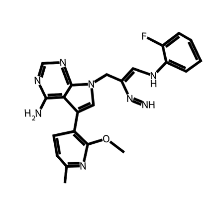 COc1nc(C)ccc1-c1cn(C/C(=C/Nc2ccccc2F)N=N)c2ncnc(N)c12